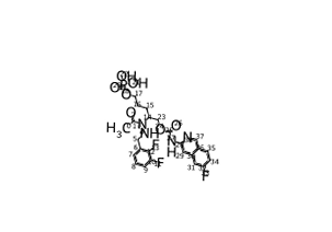 CC(=O)N(NCc1cccc(F)c1F)[C@@H](CCCOP(=O)(O)O)COC(=O)Nc1cc2cc(F)ccc2cn1